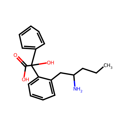 CCCC(N)Cc1ccccc1C(O)(C(=O)O)c1ccccc1